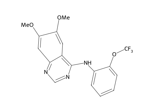 COc1cc2ncnc(Nc3ccccc3OC(F)(F)F)c2cc1OC